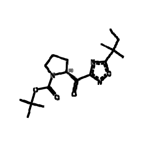 CCC(C)(C)c1nc(C(=O)[C@@H]2CCCN2C(=O)OC(C)(C)C)no1